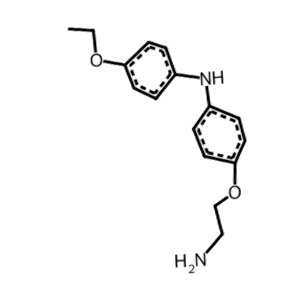 CCOc1ccc(Nc2ccc(OCCN)cc2)cc1